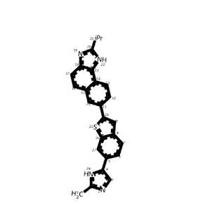 Cc1ncc(-c2ccc3cc(-c4ccc5c(ccc6nc(C(C)C)[nH]c65)c4)sc3c2)[nH]1